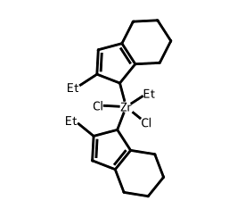 CCC1=CC2=C(CCCC2)[CH]1[Zr]([Cl])([Cl])([CH2]C)[CH]1C(CC)=CC2=C1CCCC2